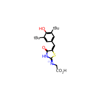 CC(C)(C)c1cc(C=C2S/C(=N\CC(=O)O)NC2=O)cc(C(C)(C)C)c1O